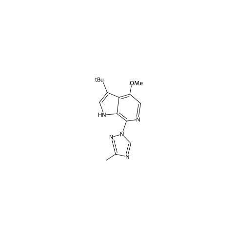 COc1cnc(-n2cnc(C)n2)c2[nH]cc(C(C)(C)C)c12